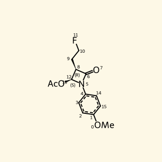 COc1ccc(N2C(=O)[C@H](CCF)[C@@H]2OC(C)=O)cc1